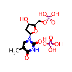 Cc1cn([C@H]2C[C@H](O)[C@@H](COP(=O)(O)O)O2)c(=O)[nH]c1=O.O=P(O)(O)O